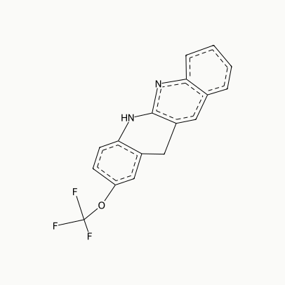 FC(F)(F)Oc1ccc2c(c1)Cc1cc3ccccc3nc1N2